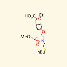 CCCCSCCN(CCOc1ccc(CC(OCC)C(=O)O)cc1)C(=O)OCCOC